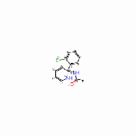 CC(=O)NC1(c2ccccc2Cl)C=[C]C=CN1